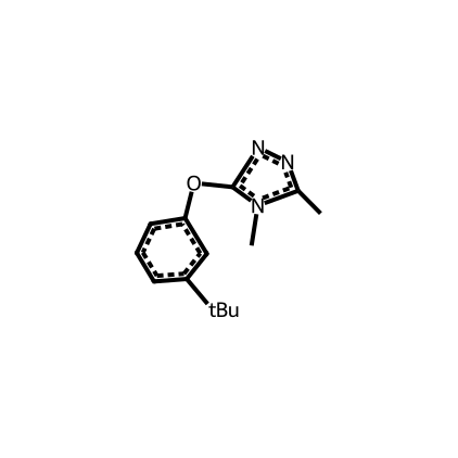 Cc1nnc(Oc2cccc(C(C)(C)C)c2)n1C